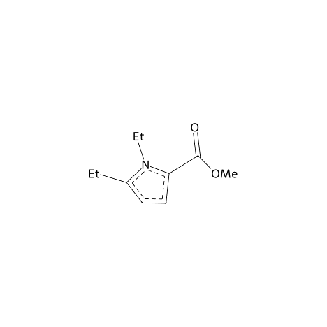 CCc1ccc(C(=O)OC)n1CC